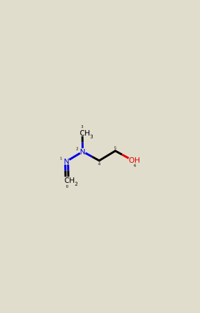 C=NN(C)CCO